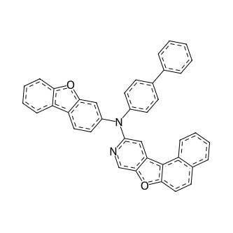 c1ccc(-c2ccc(N(c3ccc4c(c3)oc3ccccc34)c3cc4c(cn3)oc3ccc5ccccc5c34)cc2)cc1